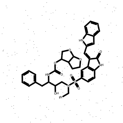 CC(C)CN(CC(O)C(Cc1ccccc1)NC(=O)OC1COC2OCCC12)S(=O)(=O)c1ccc2c(c1)C(=Cc1cc3ccccc3[nH]1)C(=O)N2